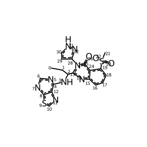 CCC(Nc1ncnc2scnc12)c1nc2cccc(S(C)(=O)=O)c2c(=O)n1-c1cc[nH]n1